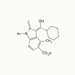 CC(=O)N1C(=O)C(=C(O)C2CCCCC2)c2c1ccc(C(=O)O)c2C